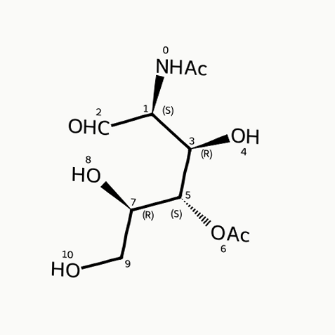 CC(=O)N[C@H](C=O)[C@@H](O)[C@H](OC(C)=O)[C@H](O)CO